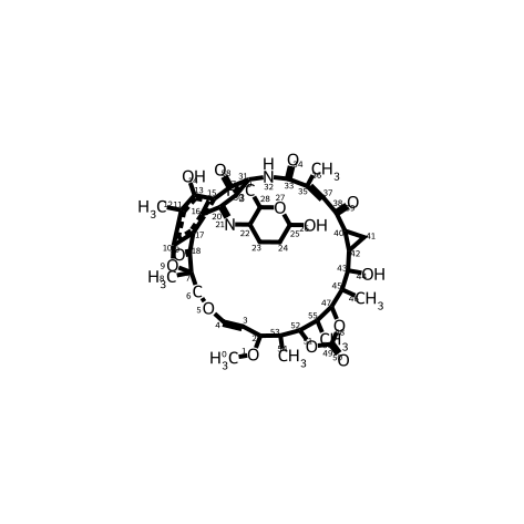 COC1/C=C/OCC2(C)Oc3c(C)c(O)c4c(c3C2=O)/C(=N/C2CCC(O)OC2C)C=C(NC(=O)/C(C)=C\C(=O)C2CC2C(O)C(C)C2OC(=O)OC(C1C)C2C)C4=O